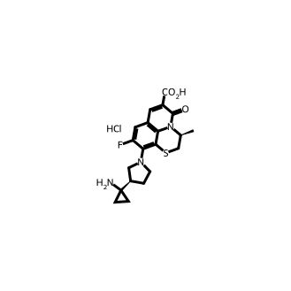 C[C@H]1CSc2c(N3CC[C@@H](C4(N)CC4)C3)c(F)cc3cc(C(=O)O)c(=O)n1c23.Cl